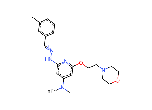 CCCN(C)c1cc(N/N=C/c2cccc(C)c2)nc(OCCN2CCOCC2)c1